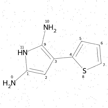 Nc1cc(-c2cccs2)c(N)[nH]1